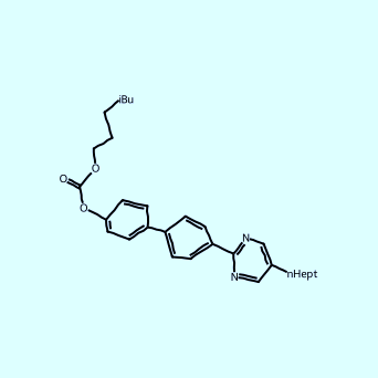 CCCCCCCc1cnc(-c2ccc(-c3ccc(OC(=O)OCCCC(C)CC)cc3)cc2)nc1